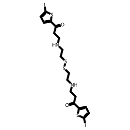 O=C(CCNCCSSCCNCCC(=O)c1ccc(I)s1)c1ccc(I)s1